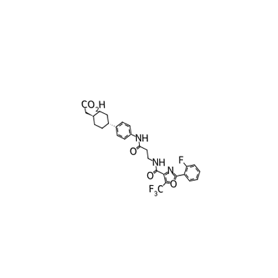 O=C(O)C[C@H]1CC[C@H](c2ccc(NC(=O)CCNC(=O)c3nc(-c4ccccc4F)oc3C(F)(F)F)cc2)CC1